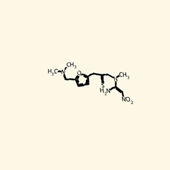 CN(C)Cc1ccc(CC(=S)CN(C)C(N)=C[N+](=O)[O-])o1